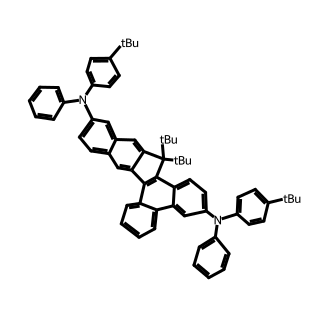 CC(C)(C)c1ccc(N(c2ccccc2)c2ccc3cc4c(cc3c2)C(C(C)(C)C)(C(C)(C)C)c2c-4c3ccccc3c3cc(N(c4ccccc4)c4ccc(C(C)(C)C)cc4)ccc23)cc1